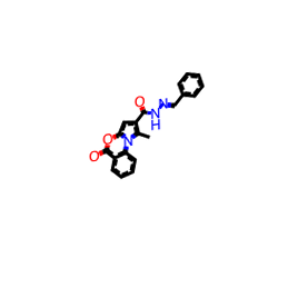 Cc1c(C(=O)N/N=C/c2ccccc2)cc2oc(=O)c3ccccc3n12